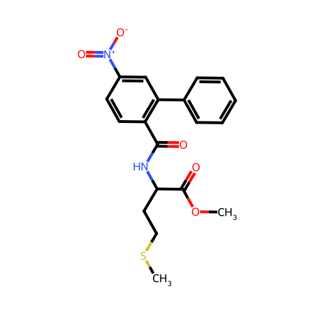 COC(=O)C(CCSC)NC(=O)c1ccc([N+](=O)[O-])cc1-c1ccccc1